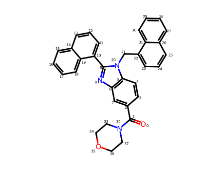 O=C(c1ccc2c(c1)nc(-c1cccc3ccccc13)n2Cc1cccc2ccccc12)N1CCOCC1